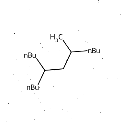 CCCCC(C)CC(CCCC)CCCC